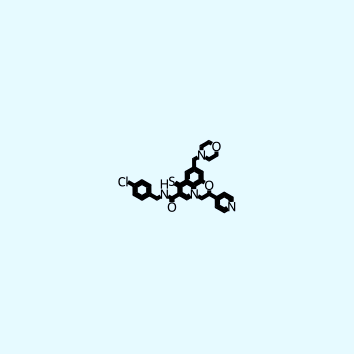 O=C(NCc1ccc(Cl)cc1)c1cn2c3c(cc(CN4CCOCC4)cc3c1=S)OC(c1ccncc1)C2